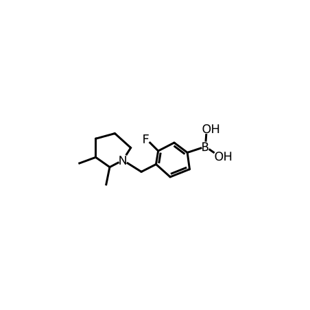 CC1CCCN(Cc2ccc(B(O)O)cc2F)C1C